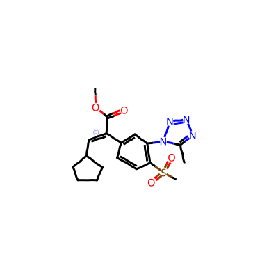 COC(=O)/C(=C/C1CCCC1)c1ccc(S(C)(=O)=O)c(-n2nnnc2C)c1